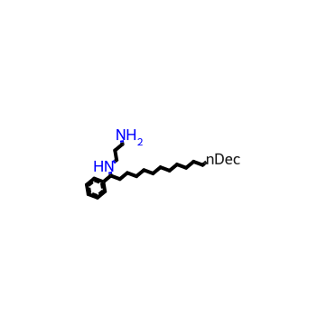 CCCCCCCCCCCCCCCCCCCCCC(NCCCN)c1ccccc1